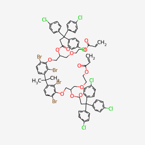 C=CC(=O)OCCOCC(COc1c(Br)ccc(C(C)(C)c2ccc(Br)c(OCC(COCCOC(=O)C=C)OC(=O)CC(c3ccc(Cl)cc3)(c3ccc(Cl)cc3)c3ccc(Cl)cc3)c2Br)c1Br)OC(=O)CC(c1ccc(Cl)cc1)(c1ccc(Cl)cc1)c1ccc(Cl)cc1